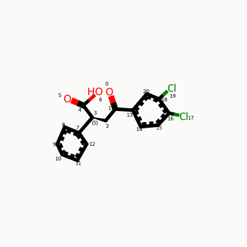 O=C(C[C@H](C(=O)O)c1ccccc1)c1ccc(Cl)c(Cl)c1